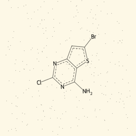 Nc1nc(Cl)nc2cc(Br)sc12